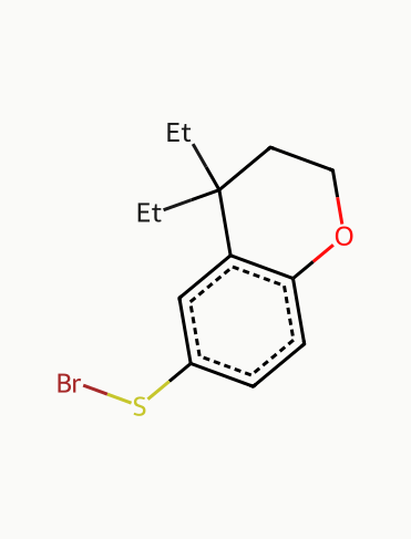 CCC1(CC)CCOc2ccc(SBr)cc21